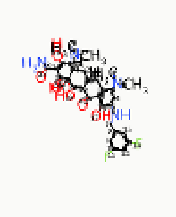 CN(C)c1cc(NCc2cc(F)cc(F)c2)c(O)c2c1C[C@@H]1C[C@@H]3[C@@H](N(C)C)C(O)=C(C(N)=O)C(=O)[C@]3(O)C(O)=C1C2=O